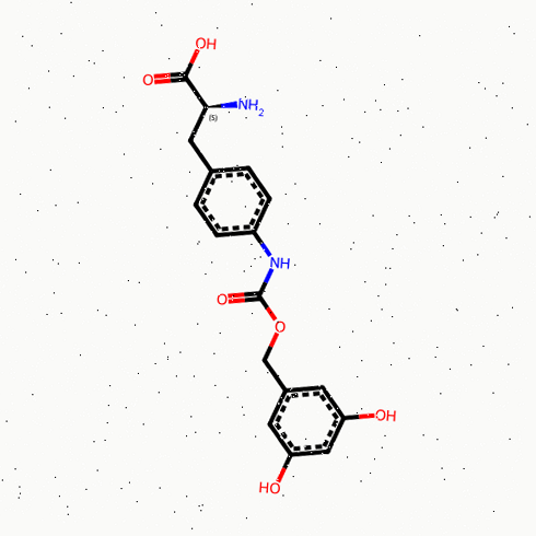 N[C@@H](Cc1ccc(NC(=O)OCc2cc(O)cc(O)c2)cc1)C(=O)O